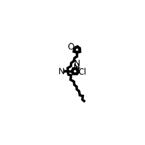 CCCCCCCCCCCCC(C#N)(CCCC(CCc1cccc(OC)c1)N=NC)c1ccc(Cl)cc1